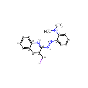 CN(C)c1ccccc1N=Nc1nc2ccccc2cc1CI